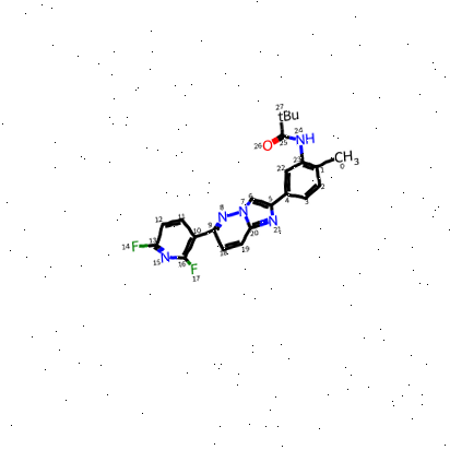 Cc1ccc(-c2cn3nc(-c4ccc(F)nc4F)ccc3n2)cc1NC(=O)C(C)(C)C